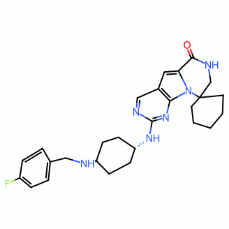 O=C1NCC2(CCCCC2)n2c1cc1cnc(N[C@H]3CC[C@H](NCc4ccc(F)cc4)CC3)nc12